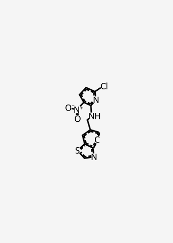 O=[N+]([O-])c1ccc(Cl)nc1NCc1ccc2ncsc2c1